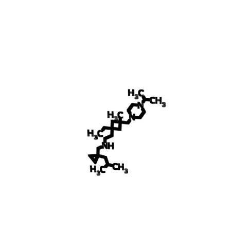 CCC1(CCNCC2(CC(C)C)CC2)CC(C)(CN2CCN(C(C)C)CC2)C1